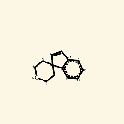 C1=CC2(CCOCC2)c2ccccc21